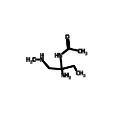 CCC(N)(CNC)NC(C)=O